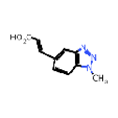 Cn1nnc2cc(C=CC(=O)O)ccc21